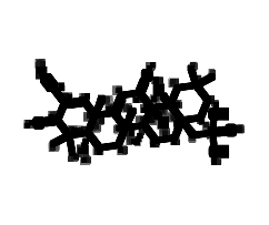 CC1(C)CC[C@]2(CP(=O)(O)O)CC[C@]3(C)[C@H](C(=O)C=C4[C@@]5(C)C=C(C#N)C(=O)C(C)(C)[C@@H]5CC[C@]43C)[C@@H]2C1